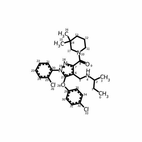 CCC(C)NCc1c(C(=O)N2CCCC(C)(C)C2)nn(-c2ccccc2Cl)c1Oc1ccc(Cl)cc1